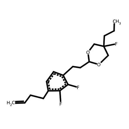 C=CCCc1ccc(CCC2OCC(F)(CCC)CO2)c(F)c1F